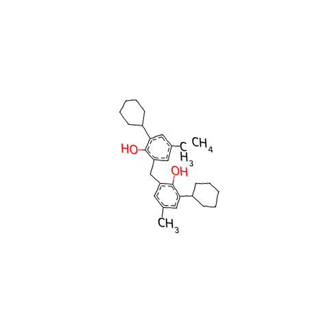 C.Cc1cc(Cc2cc(C)cc(C3CCCCC3)c2O)c(O)c(C2CCCCC2)c1